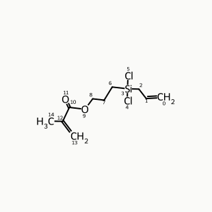 C=CC[Si](Cl)(Cl)CCCOC(=O)C(=C)C